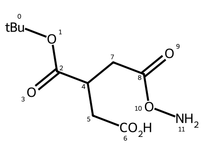 CC(C)(C)OC(=O)C(CC(=O)O)CC(=O)ON